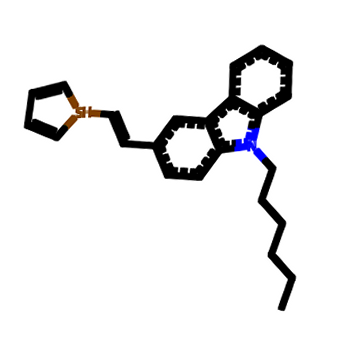 CCCCCCn1c2ccccc2c2cc(C=C[SH]3C=CC=C3)ccc21